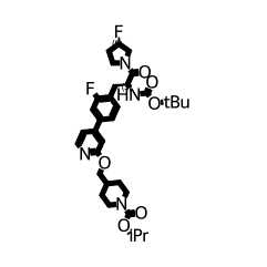 CC(C)OC(=O)N1CCC(COc2cc(-c3ccc(C[C@H](NC(=O)OC(C)(C)C)C(=O)N4CC[C@H](F)C4)c(F)c3)ccn2)CC1